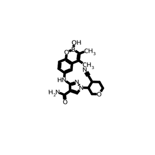 CC1=C(C)c2cc(Nc3nn(C4COCCC4C#N)cc3C(N)=O)ccc2OB1O